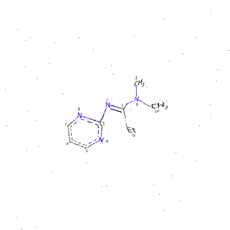 CC/C(=N\c1ncccn1)N(C)C